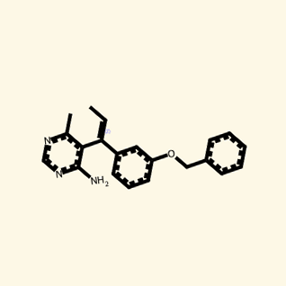 C/C=C(/c1cccc(OCc2ccccc2)c1)c1c(C)ncnc1N